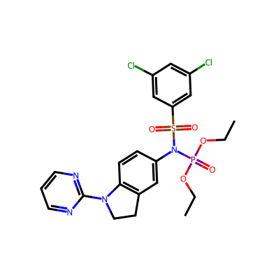 CCOP(=O)(OCC)N(c1ccc2c(c1)CCN2c1ncccn1)S(=O)(=O)c1cc(Cl)cc(Cl)c1